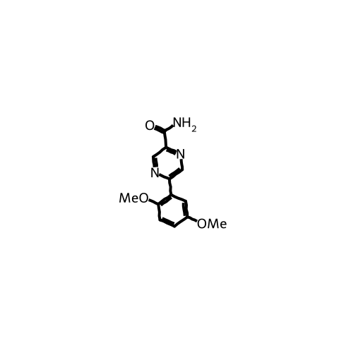 COc1ccc(OC)c(-c2cnc(C(N)=O)cn2)c1